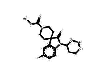 CC(C)(C)OC(=O)N1CCC2(CC1)C(=O)N(C1CCONO1)c1ccc(F)cc12